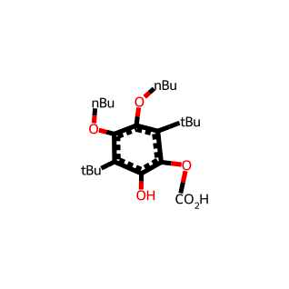 CCCCOc1c(OCCCC)c(C(C)(C)C)c(OC(=O)O)c(O)c1C(C)(C)C